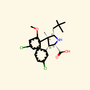 COc1cc(Cl)ccc1[C@@]1(C)[C@H](CC(C)(C)C)N[C@H](C(=O)O)[C@@H]1c1cccc(Cl)c1